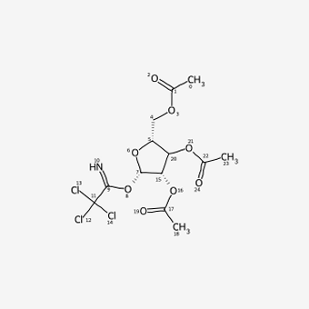 CC(=O)OC[C@H]1O[C@@H](OC(=N)C(Cl)(Cl)Cl)[C@@H](OC(C)=O)C1OC(C)=O